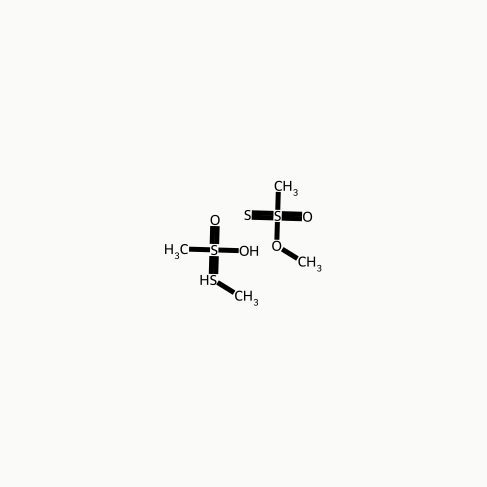 COS(C)(=O)=S.C[SH]=S(C)(=O)O